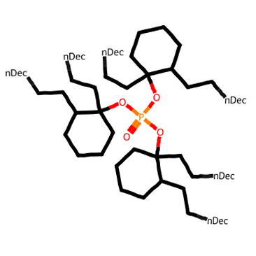 CCCCCCCCCCCCC1CCCCC1(CCCCCCCCCCCC)OP(=O)(OC1(CCCCCCCCCCCC)CCCCC1CCCCCCCCCCCC)OC1(CCCCCCCCCCCC)CCCCC1CCCCCCCCCCCC